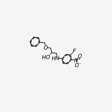 O=[N+]([O-])c1ccc(NCC(O)COCc2ccccc2)cc1F